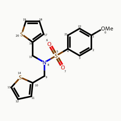 COc1ccc(S(=O)(=O)N(Cc2cccs2)Cc2cccs2)cc1